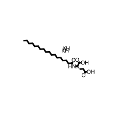 CCCCCCCCCCCCCCCCCC(=O)N[C@@H](CCC(=O)O)C(=O)O.[KH].[KH]